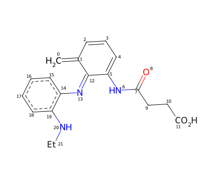 C=C1C=CC=C(NC(=O)CCC(=O)O)/C1=N/c1ccccc1NCC